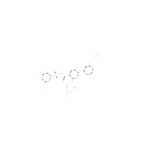 CC(C)COc1cc(F)cc(-c2ccc(C(=O)NS(=O)(=O)c3cccc(N)n3)c(N3C[C@](C)(N)CC3(C)C)n2)c1